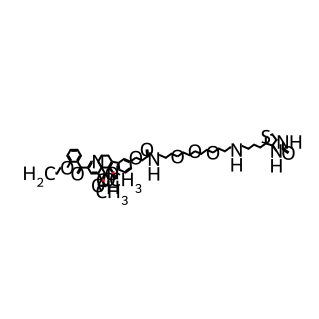 C=CCOc1ccccc1C(=O)C1=CN2CCc3c([nH]c4ccc(OCC(=O)NCCCOCCOCCOCCCNCCCCC5SCC6NC(=O)NC65)cc34)C2(C(=O)OC)C(C(=O)OC)=C1